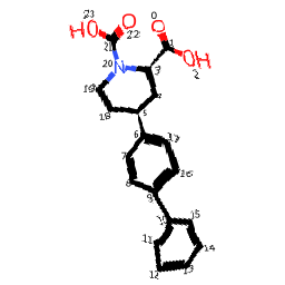 O=C(O)[C@H]1C[C@@H](c2ccc(-c3ccccc3)cc2)CCN1C(=O)O